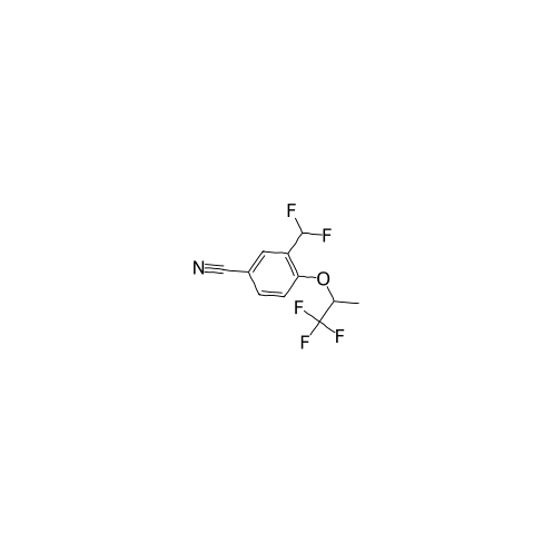 CC(Oc1ccc(C#N)cc1C(F)F)C(F)(F)F